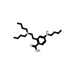 CCCCNc1ccc(C(=O)O)c(CCN(CCCC)CCCC)c1